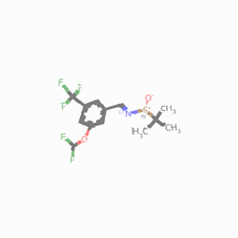 CC(C)(C)[S@@+]([O-])/N=C/c1cc(OC(F)F)cc(C(F)(F)F)c1